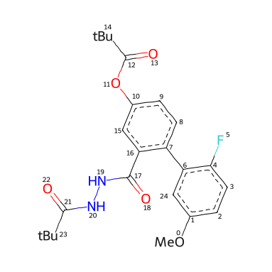 COc1ccc(F)c(-c2ccc(OC(=O)C(C)(C)C)cc2C(=O)NNC(=O)C(C)(C)C)c1